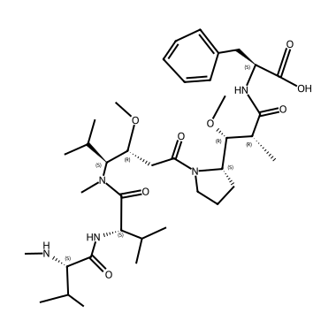 CN[C@H](C(=O)N[C@H](C(=O)N(C)[C@@H](C(C)C)[C@@H](CC(=O)N1CCC[C@H]1[C@H](OC)[C@@H](C)C(=O)N[C@@H](Cc1ccccc1)C(=O)O)OC)C(C)C)C(C)C